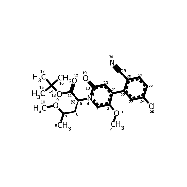 COc1cn([C@@H](CC(C)OC)C(=O)OC(C)(C)C)c(=O)cc1-c1cc(Cl)ccc1C#N